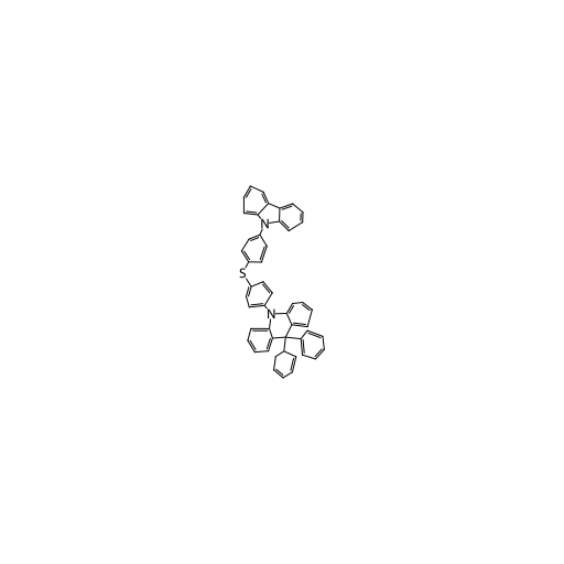 C1=CCC(C2(c3ccccc3)c3ccccc3N(c3ccc(Sc4ccc(-n5c6ccccc6c6ccccc65)cc4)cc3)c3ccccc32)C=C1